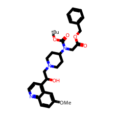 COc1ccc2nccc(C(O)CN3CCC(N(CC(=O)OCc4ccccc4)C(=O)OC(C)(C)C)CC3)c2c1